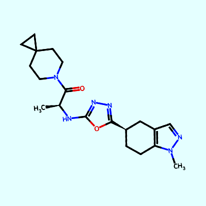 C[C@H](Nc1nnc([C@@H]2CCc3c(cnn3C)C2)o1)C(=O)N1CCC2(CC1)CC2